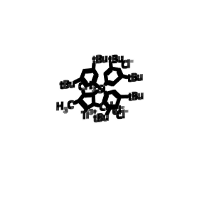 CC1=[C]([Ti+3])C(C)C([Si](c2cc(C(C)(C)C)cc(C(C)(C)C)c2)(c2cc(C(C)(C)C)cc(C(C)(C)C)c2)c2cc(C(C)(C)C)cc(C(C)(C)C)c2)=C1C.[Cl-].[Cl-].[Cl-]